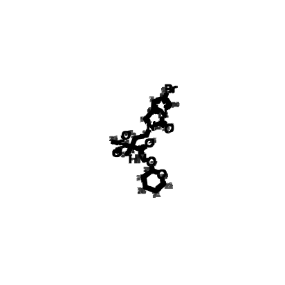 CC(CCN1Cc2cc(Br)cn2C1=O)(C(=O)NOC1CCCCO1)S(C)(=O)=O